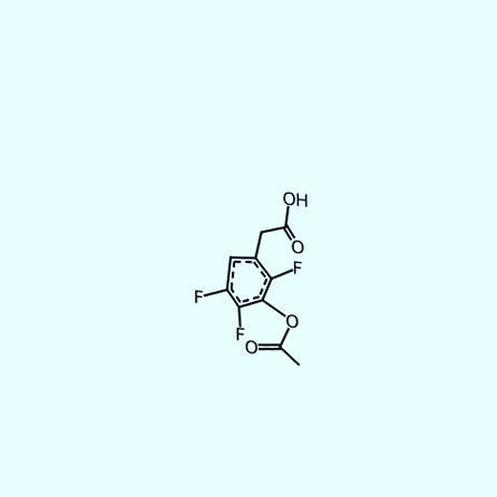 CC(=O)Oc1c(F)c(F)cc(CC(=O)O)c1F